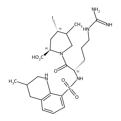 CC1CNc2c(cccc2S(=O)(=O)N[C@@H](CCCNC(=N)N)C(=O)N2CC(C)[C@@H](I)C[C@@H]2C(=O)O)C1